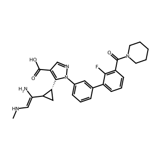 CN/C=C(\N)C1C[C@H]1c1c(C(=O)O)cnn1-c1cccc(-c2cccc(C(=O)N3CCCCC3)c2F)c1